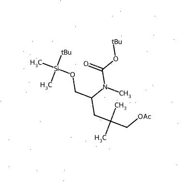 CC(=O)OCC(C)(C)CC(CO[Si](C)(C)C(C)(C)C)N(C)C(=O)OC(C)(C)C